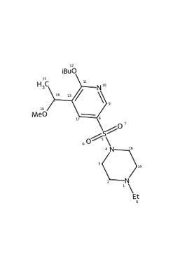 CCN1CCN(S(=O)(=O)c2cnc(OCC(C)C)c([C](C)OC)c2)CC1